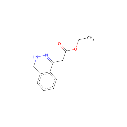 CCOC(=O)CC1=NNCc2ccccc21